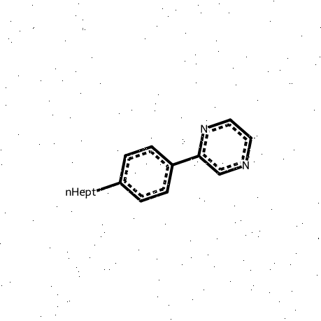 CCCCCCCc1ccc(-c2cn[c]cn2)cc1